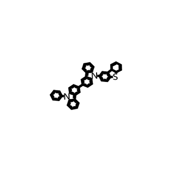 C1=CC2Sc3ccc(-n4c5ccccc5c5cc(-c6ccc7c(c6)c6ccccc6n7-c6ccccc6)ccc54)cc3C2C=C1